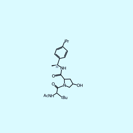 CC(=O)NC(C(=O)N1CC(O)CC1C(=O)N[C@@H](C)c1ccc(C(C)C)cc1)C(C)(C)C